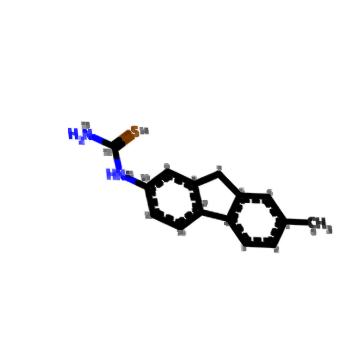 Cc1ccc2c(c1)Cc1cc(NC(N)=S)ccc1-2